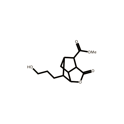 COC(=O)C1C2CC3C(OC(=O)C31)C2CCCO